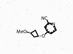 CO[C@H]1C[C@H](Oc2ccnc(C#N)c2)C1